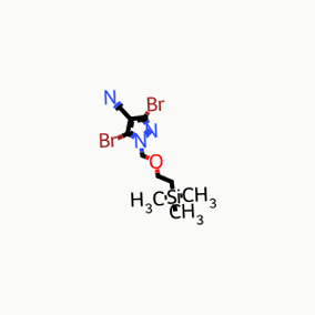 C[Si](C)(C)CCOCn1nc(Br)c(C#N)c1Br